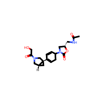 CC(=O)NC[C@H]1CN(C2C=CC([C@@]34C[C@@H]3CN(C(=O)CO)C4)=CC2)C(=O)O1